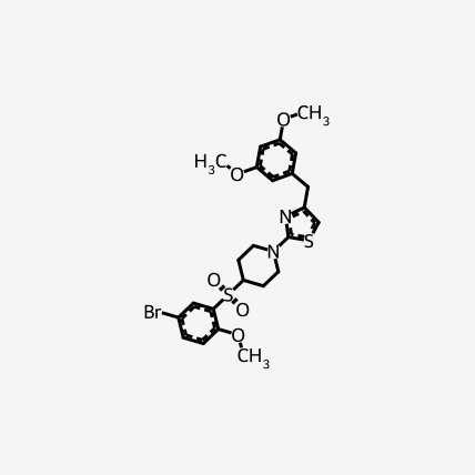 COc1cc(Cc2csc(N3CCC(S(=O)(=O)c4cc(Br)ccc4OC)CC3)n2)cc(OC)c1